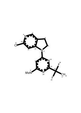 CNc1cc(N2CCc3cnc(Cl)cc32)nc(C(C)(F)F)n1